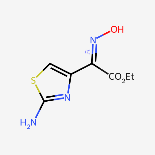 CCOC(=O)/C(=N\O)c1csc(N)n1